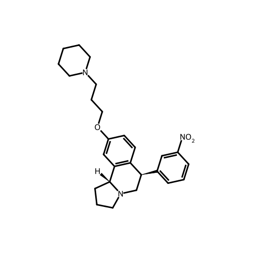 O=[N+]([O-])c1cccc([C@H]2CN3CCC[C@@H]3c3cc(OCCCN4CCCCC4)ccc32)c1